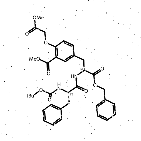 COC(=O)COc1ccc(C[C@H](NC(=O)[C@H](Cc2ccccc2)NC(=O)OC(C)(C)C)C(=O)OCc2ccccc2)cc1C(=O)OC